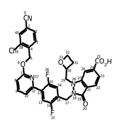 N#Cc1ccc(COc2cccc(-c3cc(F)c(Cn4c(=O)c5ccc(C(=O)O)cc5n4CC4CCO4)cc3F)n2)c(Cl)c1